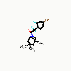 CC1(C)CC2CC(C)(CN2C(=O)C(F)(F)c2ccc(Br)cc2F)C1